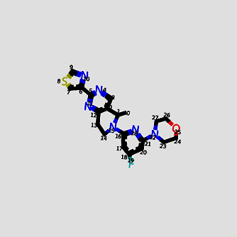 CC1c2cnc(-c3cscn3)nc2CCN1c1cc(F)cc(N2CCOCC2)n1